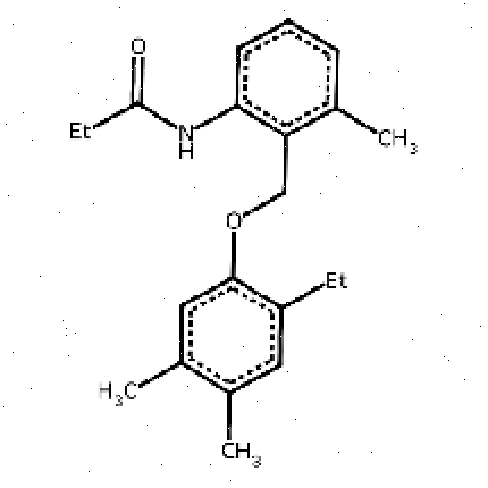 CCC(=O)Nc1cccc(C)c1COc1cc(C)c(C)cc1CC